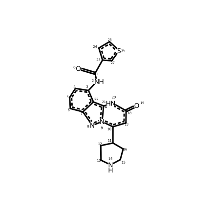 O=C(Nc1cccc2nn3c(C4CCNCC4)cc(=O)[nH]c3c12)c1ccsc1